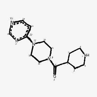 O=C(C1CCNCC1)N1CCN(c2ccncn2)CC1